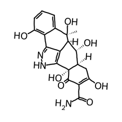 C[C@@]1(O)c2cccc(O)c2-c2n[nH]c3c2[C@@H]1[C@H](O)[C@H]1CC(O)=C(C(N)=O)C(=O)[C@@]31O